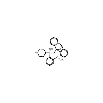 COc1ccccc1C(O)(CC12CC(c3ccccc31)c1ccccc12)C1CCNCC1